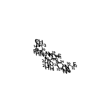 [2H]C([2H])([2H])Oc1nc(N[C@@H]2CCN(C)C[C@@H]2F)nn2cc(F)c(-c3ccc4nnn(CCF)c4c3)c12